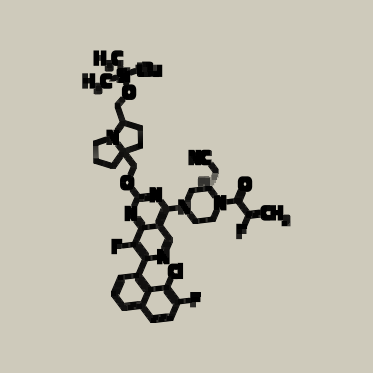 C=C(F)C(=O)N1CCN(c2nc(OCC34CCCN3C(CO[Si](C)(C)C(C)(C)C)CC4)nc3c(F)c(-c4cccc5ccc(F)c(Cl)c45)ncc23)C[C@@H]1CC#N